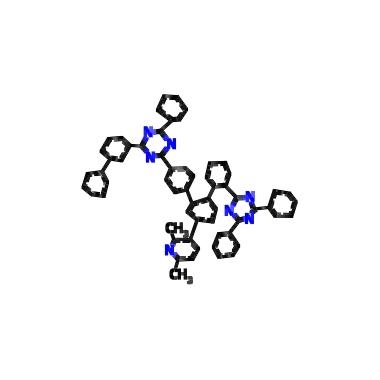 Cc1ccc(-c2ccc(-c3ccccc3-c3nc(-c4ccccc4)nc(-c4ccccc4)n3)c(-c3ccc(-c4nc(-c5ccccc5)nc(-c5cccc(-c6ccccc6)c5)n4)cc3)c2)c(C)n1